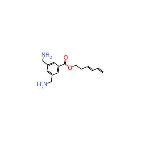 C=CC=CCCOC(=O)c1cc(CN)cc(CN)c1